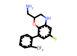 NCC1CNc2cc(F)cc(-c3ccccc3C(F)(F)F)c2O1